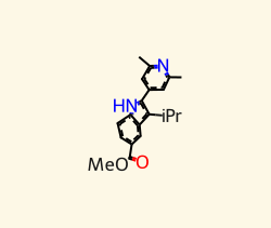 COC(=O)c1ccc2[nH]c(-c3cc(C)nc(C)c3)c(C(C)C)c2c1